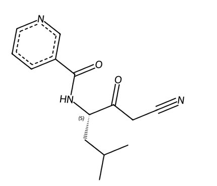 CC(C)C[C@H](NC(=O)c1cccnc1)C(=O)CC#N